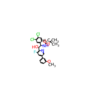 COc1cccc(-c2cnc(C(O)C(NC(=O)OC(C)(C)C)c3ccc(Cl)c(Cl)c3)c(F)c2)c1